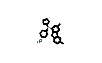 Cc1ccc2c(c1)-c1cc(C)c[c]([Zr+2]([C]3=CC=CC3)=[C]3CCCCC3)c1C2.[Cl-].[Cl-]